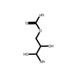 CCCC(=O)OCC(O)C(O)CCC